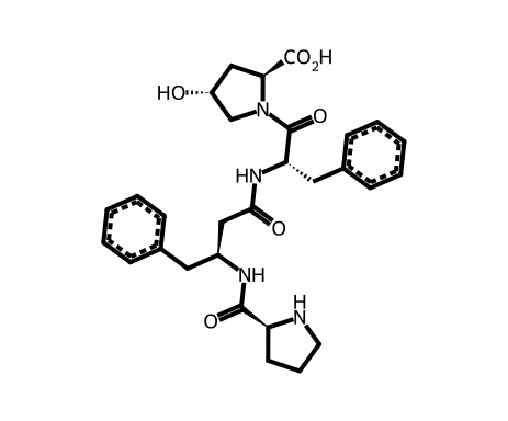 O=C(C[C@H](Cc1ccccc1)NC(=O)[C@@H]1CCCN1)N[C@@H](Cc1ccccc1)C(=O)N1C[C@H](O)C[C@H]1C(=O)O